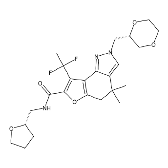 CC(F)(F)c1c(C(=O)NC[C@@H]2CCCO2)oc2c1-c1nn(C[C@H]3COCCO3)cc1C(C)(C)C2